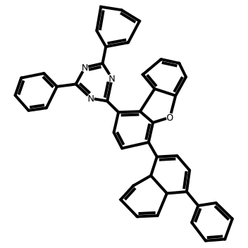 C1=CC2C(c3ccccc3)=CC=C(c3ccc(-c4nc(-c5ccccc5)nc(-c5ccccc5)n4)c4c3oc3ccccc34)C2C=C1